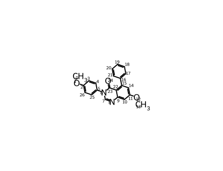 COc1ccc(-n2cnc3cc(OC)cc(-c4ccccc4)c3c2=O)cc1